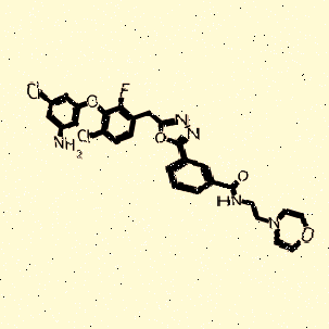 Nc1cc(Cl)cc(Oc2c(Cl)ccc(Cc3nnc(-c4cccc(C(=O)NCCN5CCOCC5)c4)o3)c2F)c1